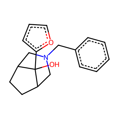 OC1(c2ccco2)C2CCC1CN(Cc1ccccc1)C2